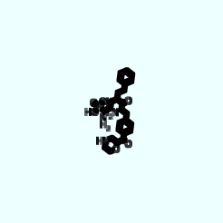 N[C@H](C=CC(CCc1ccccc1)C(=O)[C@@H](N)Cc1ccc(C(=O)C2CNCCO2)cc1)P(=O)(O)O